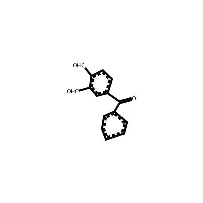 O=Cc1ccc(C(=O)c2ccccc2)cc1C=O